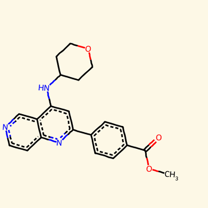 COC(=O)c1ccc(-c2cc(NC3CCOCC3)c3cnccc3n2)cc1